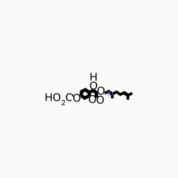 CC(C)=CCC/C(C)=C/COc1c(O)c2ccc(OCC(=O)O)cc2oc1=O